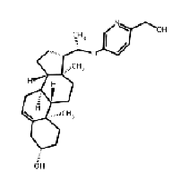 C[C@H](Oc1ccc(CO)nc1)[C@H]1CC[C@H]2[C@@H]3CC=C4C[C@@H](O)CC[C@]4(C)[C@H]3CC[C@]12C